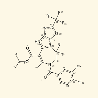 CC1=C(C(=O)OC(C)C)c2[nH]c3nc(C(F)(F)F)oc3c2C(C)(C)CN1C(=O)c1ccc(F)c(F)c1